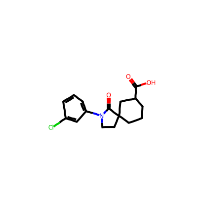 O=C(O)C1CCCC2(CCN(c3cccc(Cl)c3)C2=O)C1